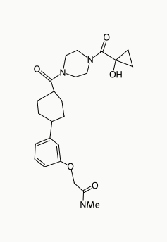 CNC(=O)COc1cccc(C2CCC(C(=O)N3CCN(C(=O)C4(O)CC4)CC3)CC2)c1